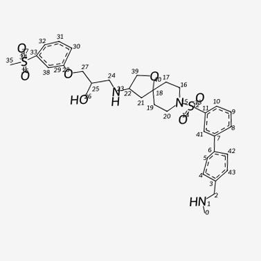 CNCc1ccc(-c2cccc(S(=O)(=O)N3CCC4(CC3)CC(NCC(O)COc3cccc(S(C)(=O)=O)c3)CO4)c2)cc1